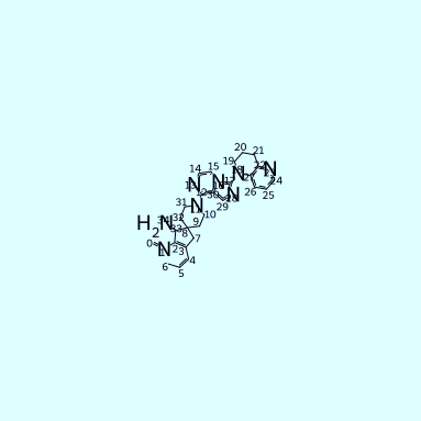 C=NC1=C(/C=C\C)CC2(CCN(c3nccn4c(N5CCCc6ncccc65)ncc34)CC2)[C@@H]1N